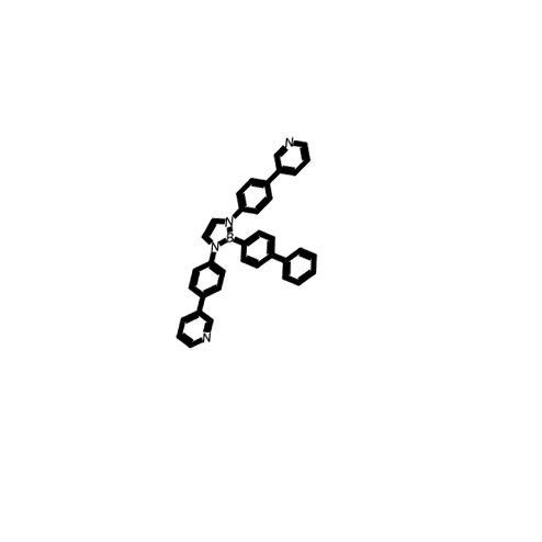 C1=CN(c2ccc(-c3cccnc3)cc2)B(c2ccc(-c3ccccc3)cc2)N1c1ccc(-c2cccnc2)cc1